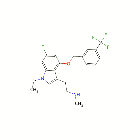 CCn1cc(CCNC)c2c(OCc3cccc(C(F)(F)F)c3)cc(F)cc21